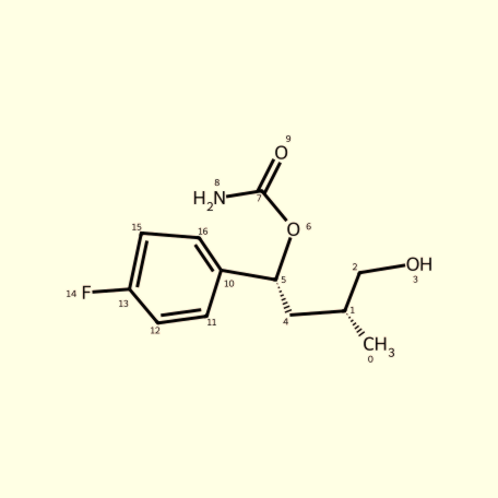 C[C@@H](CO)C[C@@H](OC(N)=O)c1ccc(F)cc1